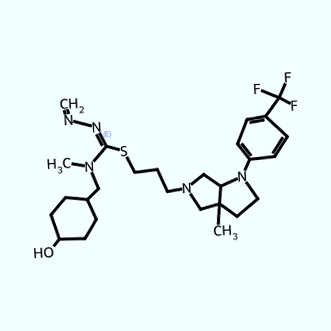 C=N/N=C(/SCCCN1CC2N(c3ccc(C(F)(F)F)cc3)CCC2(C)C1)N(C)CC1CCC(O)CC1